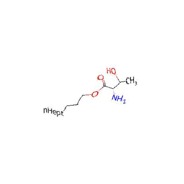 CCCCCCCCCCOC(=O)[C@@H](N)C(C)O